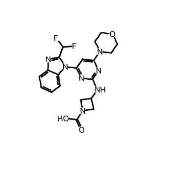 O=C(O)N1CC(Nc2nc(N3CCOCC3)cc(-n3c(C(F)F)nc4ccccc43)n2)C1